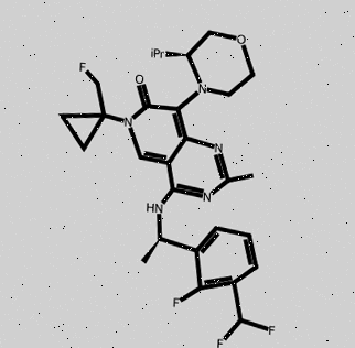 Cc1nc(N[C@H](C)c2cccc(C(F)F)c2F)c2cn(C3(CF)CC3)c(=O)c(N3CCOC[C@@H]3C(C)C)c2n1